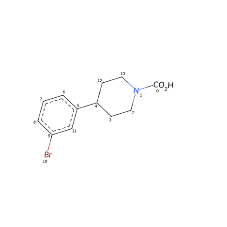 O=C(O)N1CCC(c2cccc(Br)c2)CC1